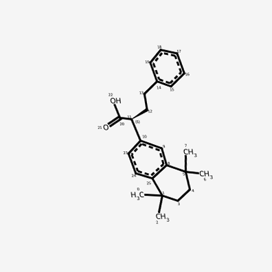 CC1(C)CCC(C)(C)c2cc([C@H](CCc3ccccc3)C(=O)O)ccc21